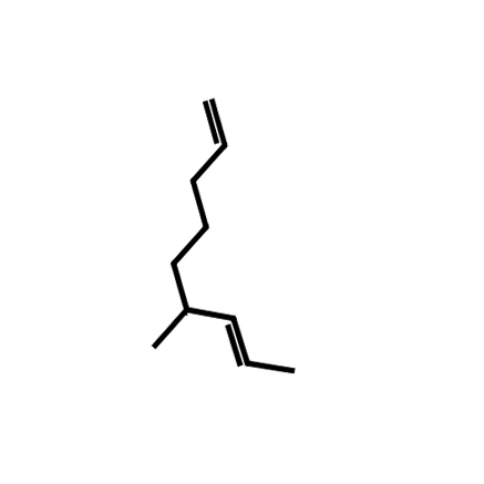 C=CCCC[C](C)C=CC